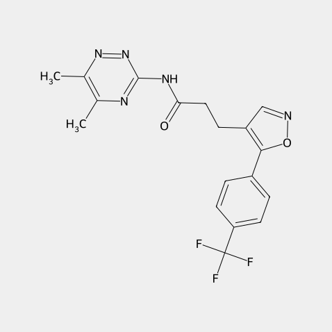 Cc1nnc(NC(=O)CCc2cnoc2-c2ccc(C(F)(F)F)cc2)nc1C